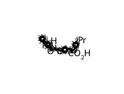 CC(C)c1ccc(OC(Cc2ccc(OCCNC(=O)c3ccc(-c4ccccc4)nc3)cc2)C(=O)O)cc1